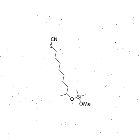 CO[Si](C)(C)OC(C)CCCCCCCSC#N